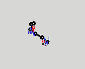 CC(=O)N1CCC[C@H]1C(=O)Nc1ccc(C#Cc2ccc(NC(=O)[C@@H]3CCCN3C(=O)c3cccc4ccccc34)nc2)cc1